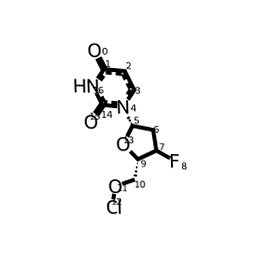 O=c1ccn([C@@H]2CC(F)[C@H](COCl)O2)c(=O)[nH]1